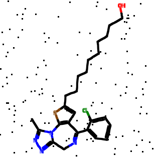 Cc1nnc2n1-c1sc(CCCCCCCCCCO)cc1C(c1ccccc1Cl)=NC2